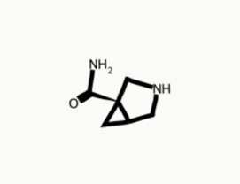 NC(=O)[C@@]12CNCC1C2